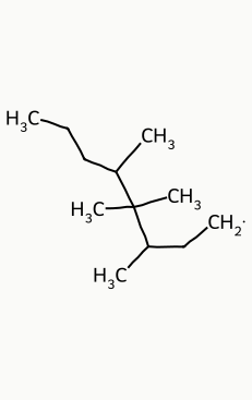 [CH2]CC(C)C(C)(C)C(C)CCC